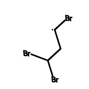 Br[CH]CC(Br)Br